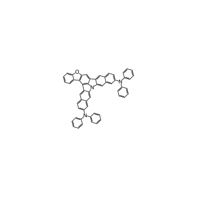 c1ccc(N(c2ccccc2)c2ccc3cc4c5cc6oc7ccccc7c6c6c7cc8ccc(N(c9ccccc9)c9ccccc9)cc8cc7n(c4cc3c2)c56)cc1